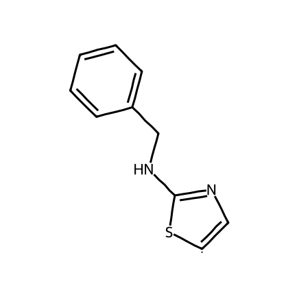 [c]1cnc(NCc2ccccc2)s1